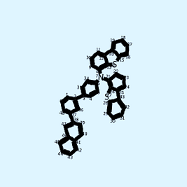 c1cc(-c2ccc(N(c3cccc4c3sc3ccccc34)c3cccc4c3sc3ccccc34)cc2)cc(-c2ccc3ccccc3c2)c1